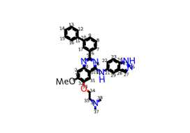 COc1cc2nc(-c3cccc(-c4ccccc4)c3)nc(Nc3ccc4[nH]ncc4c3)c2cc1OCCN(C)C